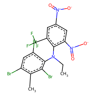 CCN(c1c([N+](=O)[O-])cc([N+](=O)[O-])cc1C(F)(F)F)c1c(Br)cc(Br)c(C)c1Br